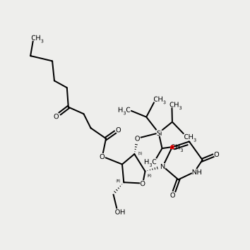 CCCCCC(=O)CCC(=O)OC1[C@@H](CO)O[C@@H](n2ccc(=O)[nH]c2=O)[C@H]1O[Si](C(C)C)(C(C)C)C(C)C